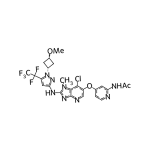 CO[C@H]1C[C@H](n2nc(Nc3nc4ncc(Oc5ccnc(NC(C)=O)c5)c(Cl)c4n3C)cc2C(F)(F)C(F)(F)F)C1